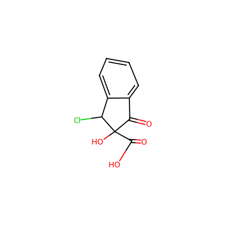 O=C(O)C1(O)C(=O)c2ccccc2C1Cl